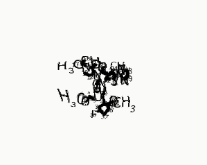 COCCOC(Cn1c(=O)n(C2CCN(C(C)C)C2=O)c(=O)c2c(C)c(-n3nccn3)sc21)c1cc(F)ccc1OC